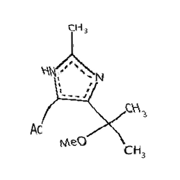 COC(C)(C)c1nc(C)[nH]c1C(C)=O